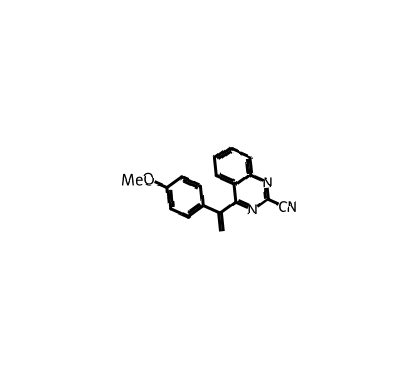 C=C(c1ccc(OC)cc1)c1nc(C#N)nc2ccccc12